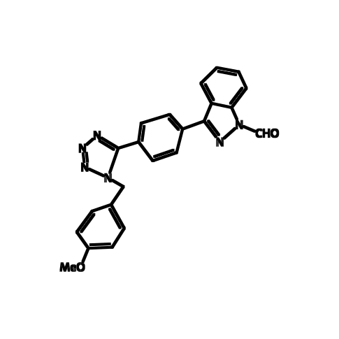 COc1ccc(Cn2nnnc2-c2ccc(-c3nn(C=O)c4ccccc34)cc2)cc1